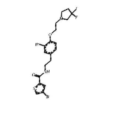 O=C(NCCc1ccc(OCCN2CCC(F)(F)C2)c(Br)c1)c1cc(Br)cs1